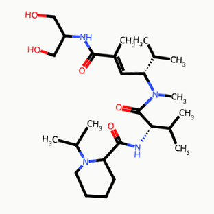 C/C(=C\[C@H](C(C)C)N(C)C(=O)[C@@H](NC(=O)C1CCCCN1C(C)C)C(C)C)C(=O)NC(CO)CO